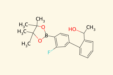 CC(O)c1ccccc1-c1ccc(B2OC(C)(C)C(C)(C)O2)c(F)c1